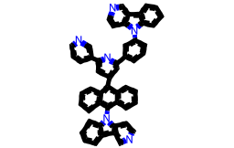 c1cncc(-c2cc(-c3c4ccccc4c(-n4c5ccccc5c5cnccc54)c4ccccc34)cc(-c3cccc(-n4c5ccccc5c5cnccc54)c3)n2)c1